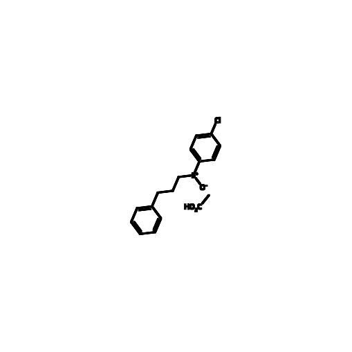 CC(=O)O.[O-][S+](CCCc1ccccc1)c1ccc(Cl)cc1